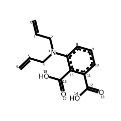 C=CCN(CC=C)c1cccc(C(=O)O)c1C(=O)O